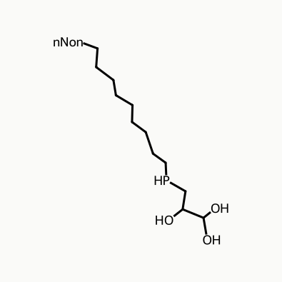 CCCCCCCCCCCCCCCCCCPCC(O)C(O)O